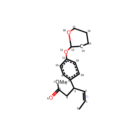 C/C=C\C(CC(=O)OC)c1ccc(OC2CCCCO2)cc1